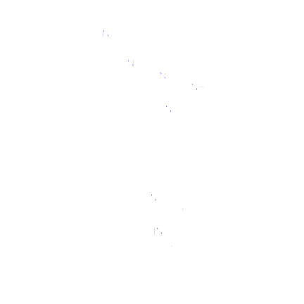 CN1CCN(c2cc(-c3ccc4c(c3)CN(C(=O)NC3(C)CCCCC3)CC4)nc(N)n2)CC1